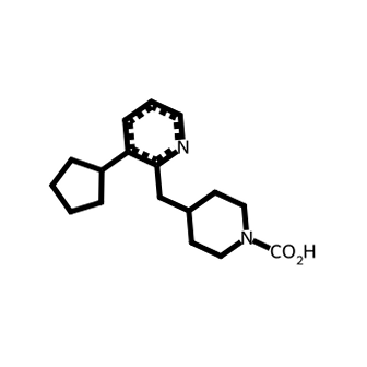 O=C(O)N1CCC(Cc2ncccc2C2CCCC2)CC1